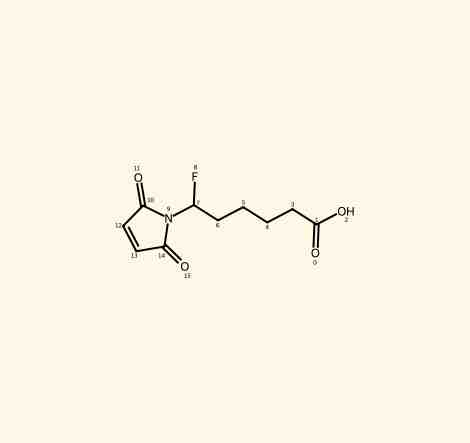 O=C(O)CCCCC(F)N1C(=O)C=CC1=O